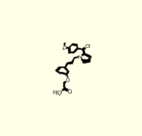 COc1ccc(C(=O)c2cccn2CC=Cc2cccc(OCC(=O)O)c2)cc1